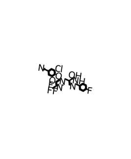 N#Cc1cc(Cl)cc(Oc2c(C(F)(F)F)ncn(CC3=CN=C(c4ccc(F)cc4)NC3O)c2=O)c1